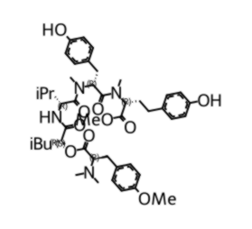 CC[C@@H](C)[C@H](OC(=O)[C@@H](Cc1ccc(OC)cc1)N(C)C)C(=O)N[C@@H](C(=O)N(C)[C@H](Cc1ccc(O)cc1)C(=O)N(C)[C@H](CCc1ccc(O)cc1)C(=O)OC)C(C)C